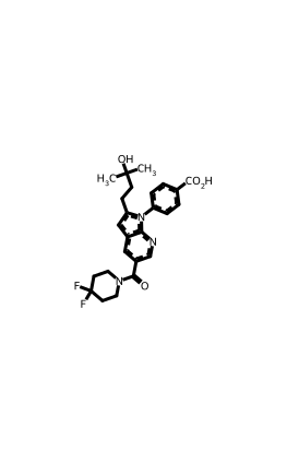 CC(C)(O)CCc1cc2cc(C(=O)N3CCC(F)(F)CC3)cnc2n1-c1ccc(C(=O)O)cc1